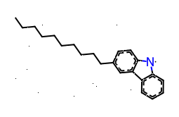 CCCCCCCCCCc1ccc2c(c1)-c1ccccc1[N]2